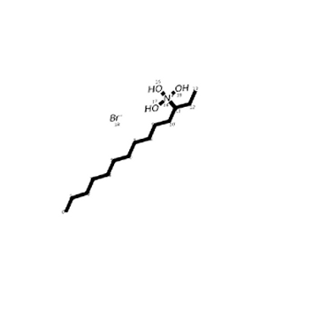 CCCCCCCCCCCC(CC)[N+](O)(O)O.[Br-]